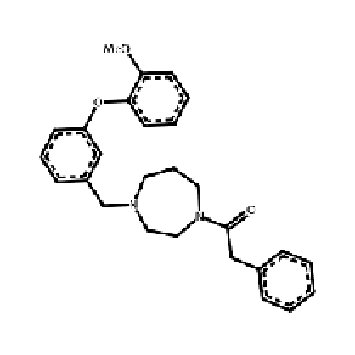 COc1ccccc1Oc1cccc(CN2CCCN(C(=O)Cc3ccccc3)CC2)c1